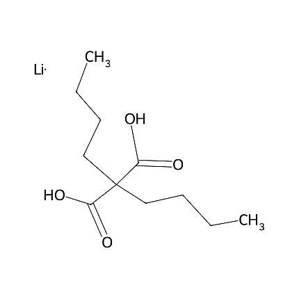 CCCCC(CCCC)(C(=O)O)C(=O)O.[Li]